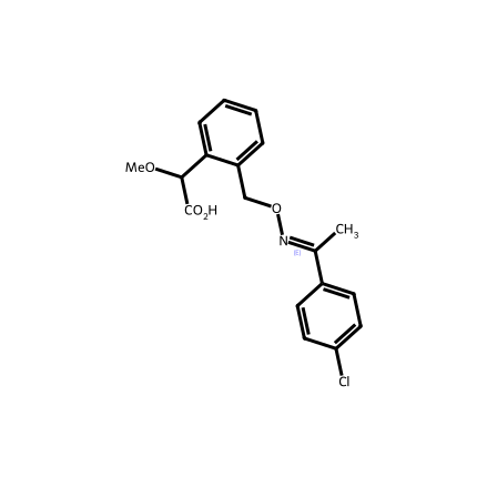 COC(C(=O)O)c1ccccc1CO/N=C(\C)c1ccc(Cl)cc1